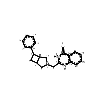 O=c1[nH]c(CN2CC3CC(c4ccccc4)C3C2)nc2ccccc12